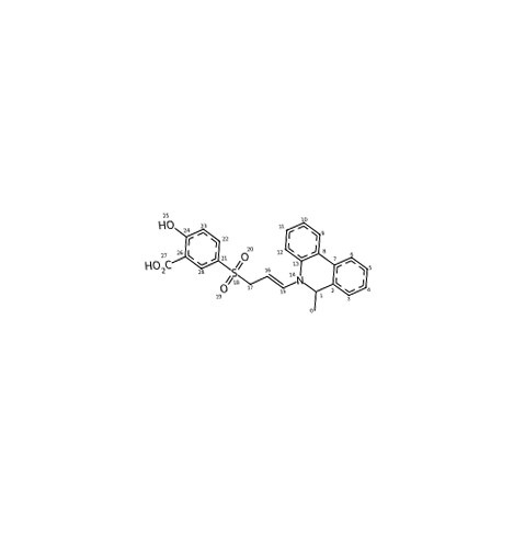 CC1c2ccccc2-c2ccccc2N1C=CCS(=O)(=O)c1ccc(O)c(C(=O)O)c1